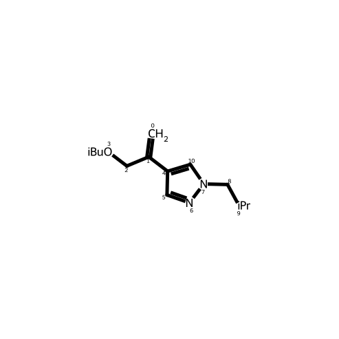 C=C(COCC(C)C)c1cnn(CC(C)C)c1